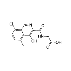 Cc1ccc(Cl)c2cnc(C(=O)NCC(=O)O)c(O)c12